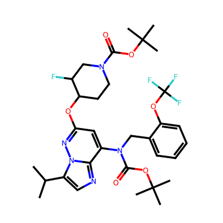 CC(C)c1cnc2c(N(Cc3ccccc3OC(F)(F)F)C(=O)OC(C)(C)C)cc(OC3CCN(C(=O)OC(C)(C)C)CC3F)nn12